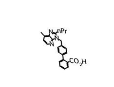 CCCc1nc2c(C)ccnc2n1Cc1ccc(-c2ccccc2C(=O)O)cc1